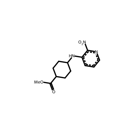 COC(=O)C1CCC(Nc2cccnc2[N+](=O)[O-])CC1